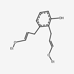 CCOC=CCc1cccc(O)c1CC=COCC